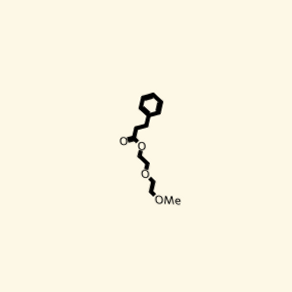 COCCOCCOC(=O)CCc1ccccc1